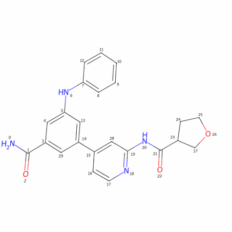 NC(=O)c1cc(Nc2ccccc2)cc(-c2ccnc(NC(=O)C3CCOC3)c2)c1